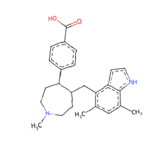 Cc1cc(C)c2[nH]ccc2c1CC1CCN(C)CCC1c1ccc(C(=O)O)cc1